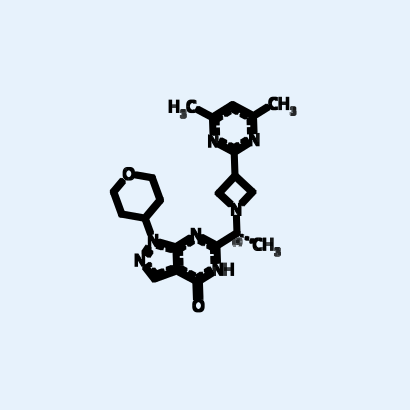 Cc1cc(C)nc(C2CN([C@H](C)c3nc4c(cnn4C4CCOCC4)c(=O)[nH]3)C2)n1